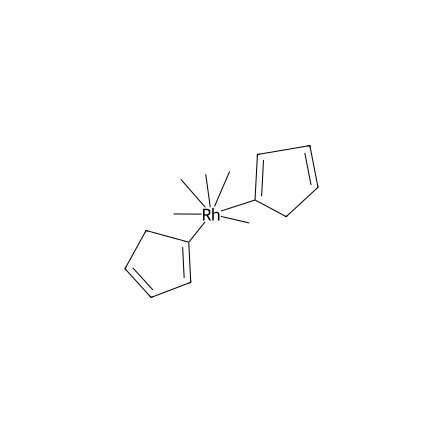 [CH3][Rh]([CH3])([CH3])([CH3])([CH3])([C]1=CC=CC1)[C]1=CC=CC1